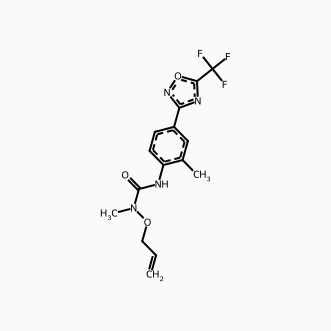 C=CCON(C)C(=O)Nc1ccc(-c2noc(C(F)(F)F)n2)cc1C